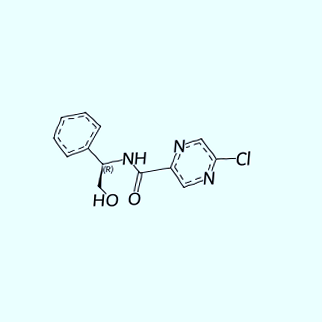 O=C(N[C@@H](CO)c1ccccc1)c1cnc(Cl)cn1